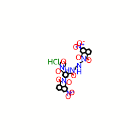 Cl.O=C(NCCNCCN1C(=O)c2cccc3cc([N+](=O)[O-])cc(c23)C1=O)c1cc(C(=O)N2CCOCC2)cc(N2C(=O)c3cccc4cc([N+](=O)[O-])cc(c34)C2=O)c1